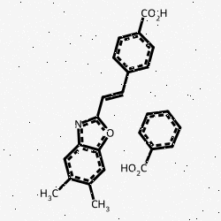 Cc1cc2nc(C=Cc3ccc(C(=O)O)cc3)oc2cc1C.O=C(O)c1ccccc1